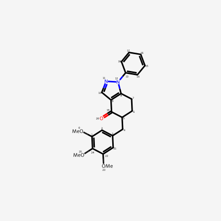 COc1cc(CC2CCc3c(cnn3-c3ccccc3)C2=O)cc(OC)c1OC